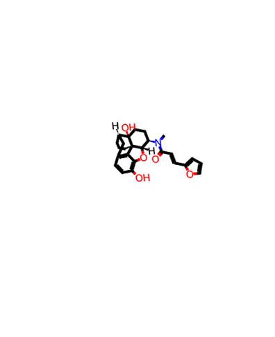 CN(C(=O)/C=C/c1ccco1)[C@@H]1CC[C@@]2(O)[C@@H]3CCC[C@@]24c2c(ccc(O)c2O[C@@H]14)C3